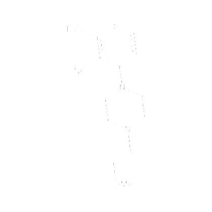 COCCN1CCN(c2cccc(C(F)(F)F)c2C#N)CC1